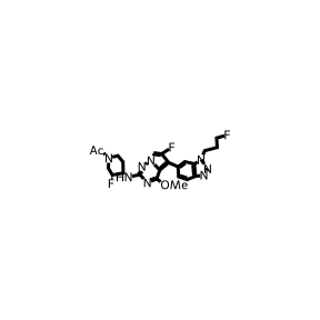 COc1nc(N[C@H]2CCN(C(C)=O)C[C@H]2F)nn2cc(F)c(-c3ccc4nnn(CCCF)c4c3)c12